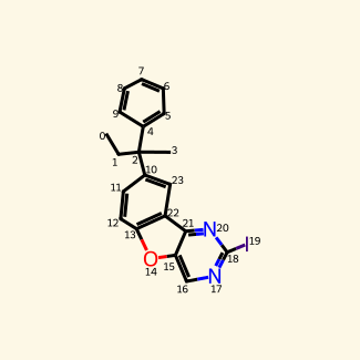 CCC(C)(c1ccccc1)c1ccc2oc3cnc(I)nc3c2c1